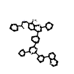 CC(/C=C\c1ccc2c(-c3ccc(-c4cc(-c5ccccc5)nc(-c5cccc(-c6cccc7cccnc67)c5)n4)cc3)cc(-c3ccccc3)nc2c1N)c1ccccc1